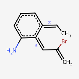 C=C(Br)/C=c1/c(N)ccc/c1=C/C